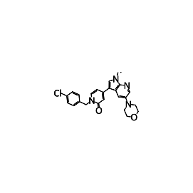 [CH2]n1cc(-c2ccn(Cc3ccc(Cl)cc3)c(=O)c2)c2cc(N3CCOCC3)cnc21